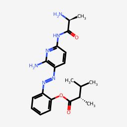 CC(C)[C@H](C)C(=O)Oc1ccccc1/N=N/c1ccc(NC(=O)[C@H](C)N)nc1N